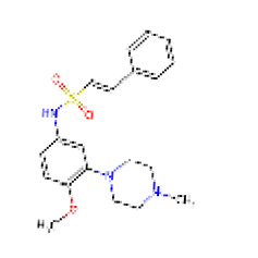 COc1ccc(NS(=O)(=O)C=Cc2ccccc2)cc1N1CCN(C)CC1